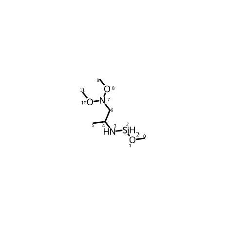 CO[SiH2]NC(C)CN(OC)OC